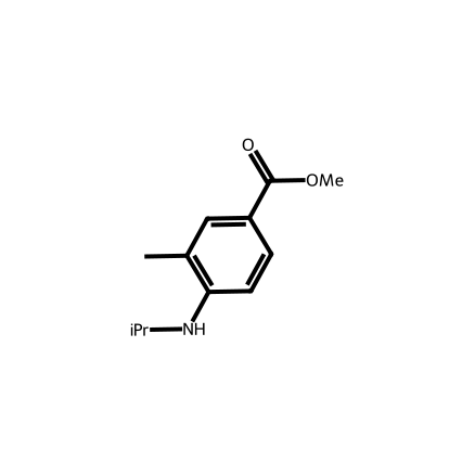 COC(=O)c1ccc(NC(C)C)c(C)c1